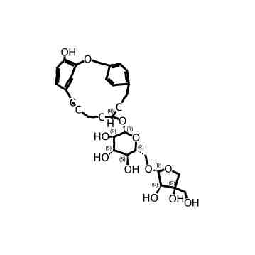 OC[C@@]1(O)CO[C@@H](OC[C@H]2O[C@@H](O[C@@H]3CCCCc4ccc(O)c(c4)Oc4ccc(cc4)CC3)[C@H](O)[C@@H](O)[C@@H]2O)[C@@H]1O